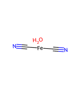 N#[C][Fe][C]#N.O